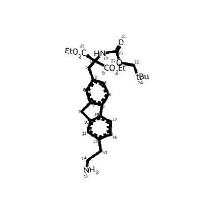 CCOC(=O)C(Cc1ccc2c(c1)Cc1cc(CCN)ccc1-2)(NC(=O)OCC(C)(C)C)C(=O)OCC